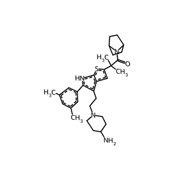 Cc1cc(C)cc(-c2[nH]c3sc(C(C)(C)C(=O)N4C5CCC4CC5)cc3c2CCN2CCC(N)CC2)c1